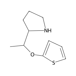 CC(Oc1cccs1)C1CCCN1